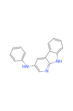 c1ccc(Nc2cnc3[nH]c4ccccc4c3c2)cc1